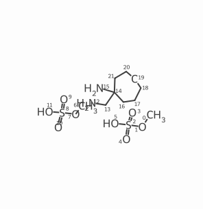 COS(=O)(=O)O.COS(=O)(=O)O.NCC1(N)CCCCCC1